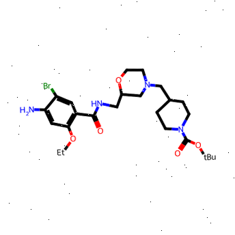 CCOc1cc(N)c(Br)cc1C(=O)NCC1CN(CC2CCN(C(=O)OC(C)(C)C)CC2)CCO1